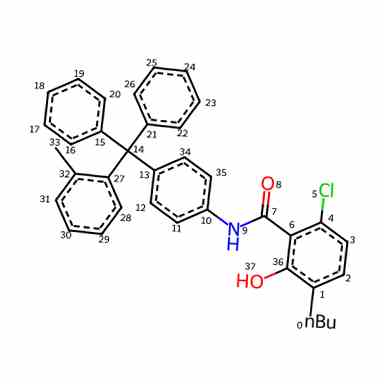 CCCCc1ccc(Cl)c(C(=O)Nc2ccc(C(c3ccccc3)(c3ccccc3)c3ccccc3C)cc2)c1O